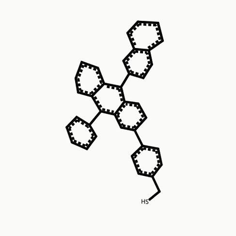 SCc1ccc(-c2ccc3c(-c4ccc5ccccc5c4)c4ccccc4c(-c4ccccc4)c3c2)cc1